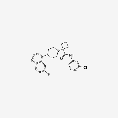 O=C(Nc1cccc(Cl)c1)C1(N2CCC(c3ccnc4ccc(F)cc34)CC2)CCC1